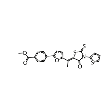 COC(=O)c1ccc(-c2ccc(C(C)=C3SC(=S)N(c4cccs4)C3=O)o2)cc1